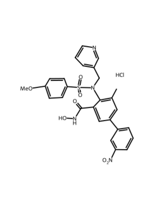 COc1ccc(S(=O)(=O)N(Cc2cccnc2)c2c(C)cc(-c3cccc([N+](=O)[O-])c3)cc2C(=O)NO)cc1.Cl